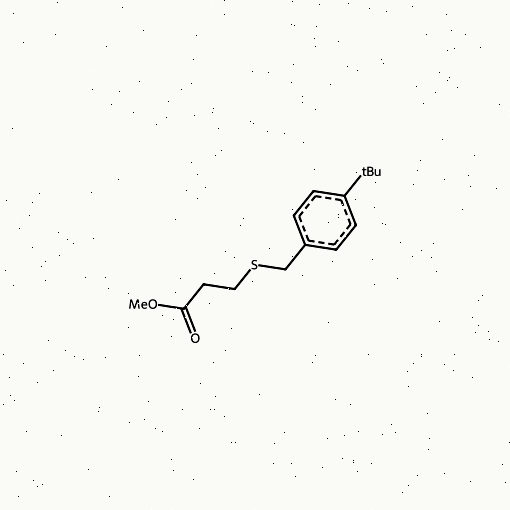 COC(=O)CCSCc1ccc(C(C)(C)C)cc1